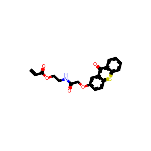 C=CC(=O)OCCNC(=O)COc1ccc2sc3ccccc3c(=O)c2c1